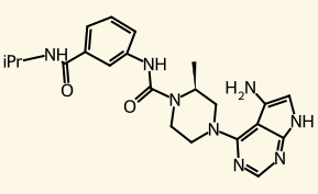 CC(C)NC(=O)c1cccc(NC(=O)N2CCN(c3ncnc4[nH]cc(N)c34)C[C@@H]2C)c1